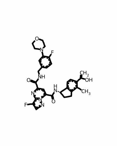 C=C(O)c1ccc2c(c1C)CC[C@@H]2NC(=O)c1cc(C(=O)NCc2ccc(F)c(N3CCOCC3)c2)nc2c(F)cnn12